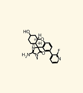 CN1C(=O)C2(N=C1N)c1cc(-c3cccnc3F)ccc1O[C@H]1CC(O)CC[C@@H]12